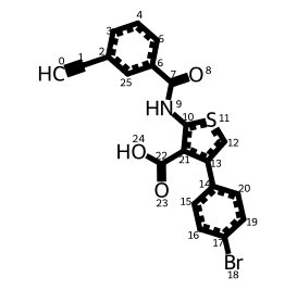 C#Cc1cccc(C(=O)Nc2scc(-c3ccc(Br)cc3)c2C(=O)O)c1